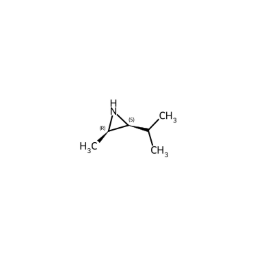 CC(C)[C@@H]1N[C@@H]1C